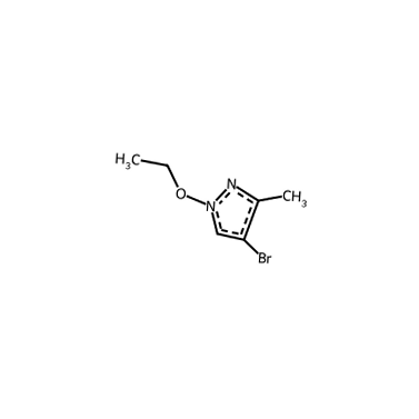 CCOn1cc(Br)c(C)n1